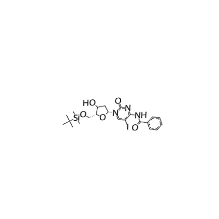 CC(C)(C)[Si](C)(C)OC[C@H]1O[C@@H](n2cc(I)c(NC(=O)c3ccccc3)nc2=O)CC1O